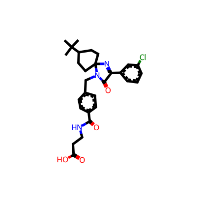 CC(C)(C)C1CCC2(CC1)N=C(c1cccc(Cl)c1)C(=O)N2Cc1ccc(C(=O)NCCC(=O)O)cc1